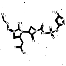 Cc1cc(NS(=O)(=O)NC(=O)N2CC(N3C(CC(N)=O)=C/S(=N/OCC(F)(F)F)C3N)C2=O)ns1